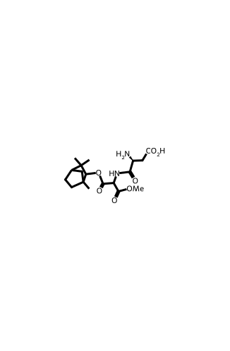 COC(=O)C(NC(=O)[C@@H](N)CC(=O)O)C(=O)OC1C2(C)CCC(C2)C1(C)C